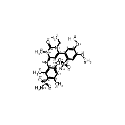 CCn1c(-c2cc(OC)c(OC)cc2S(N)(=O)=O)cc(=Nc2c(C)cc(C)c(S(N)(=O)=O)c2C)n(C)c1=O